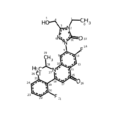 CCn1c(CO)nn(-c2cc3c(cc2F)c(=O)cc(-c2c(F)cccc2Cl)n3C(C)C)c1=O